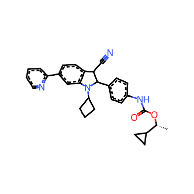 C[C@@H](OC(=O)Nc1ccc(C2C(C#N)c3ccc(-c4ccccn4)cc3N2C2CCC2)cc1)C1CC1